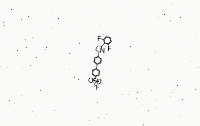 O=S(=O)(CF)c1ccc(-c2ccc([C@H]3CCC(c4c(F)cccc4F)=N3)cc2)cc1